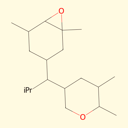 CC(C)C(C1COC(C)C(C)C1)C1CC(C)C2OC2(C)C1